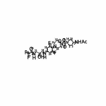 CC(=O)Nc1ccc(S(=O)(=O)N2CCN(c3c(F)cc(NC[C@@H](O)CNC(=O)C(F)F)cc3F)CCO2)cc1